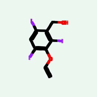 C=COc1c(I)cc(I)c(CO)c1I